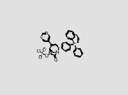 C/C=C\[P+](c1ccccc1)(c1ccccc1)c1ccccc1.O=C1N2CC=C(c3cncnc3)C(C2)N1OS(=O)(=O)[O-]